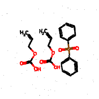 C=CCOC(=O)O.C=CCOC(=O)O.O=S(=O)(c1ccccc1)c1ccccc1